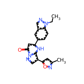 CCn1ncc2cc(-c3cc(=O)n4ncc(-c5cc(C)no5)c4[nH]3)ccc21